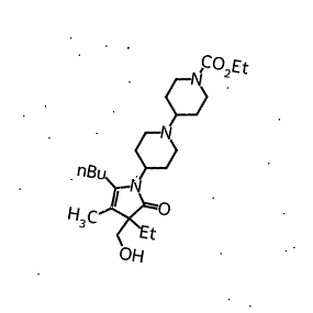 CCCCC1=C(C)C(CC)(CO)C(=O)N1C1CCN(C2CCN(C(=O)OCC)CC2)CC1